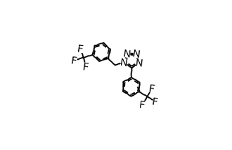 FC(F)(F)c1cccc(Cn2nnnc2-c2cccc(C(F)(F)F)c2)c1